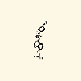 N#Cc1ccc(S(=O)(=O)NCC2CCOc3c(OCC(=O)O)cccc32)cc1